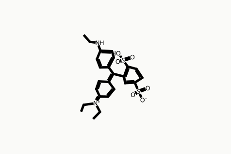 CCNc1ccc(C(=C2C=CC(=[N+](CC)CC)C=C2)c2cc(S(=O)(=O)[O-])ccc2S(=O)(=O)O)cc1